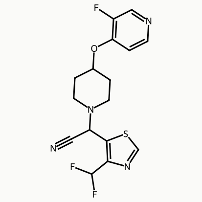 N#CC(c1scnc1C(F)F)N1CCC(Oc2ccncc2F)CC1